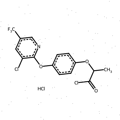 CC(Oc1ccc(Oc2ncc(C(F)(F)F)cc2Cl)cc1)C(=O)Cl.Cl